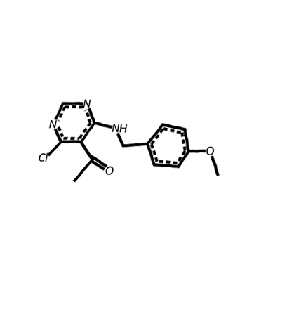 COc1ccc(CNc2ncnc(Cl)c2C(C)=O)cc1